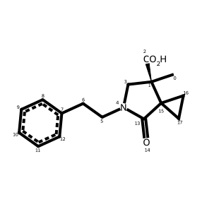 C[C@@]1(C(=O)O)CN(CCc2ccccc2)C(=O)C12CC2